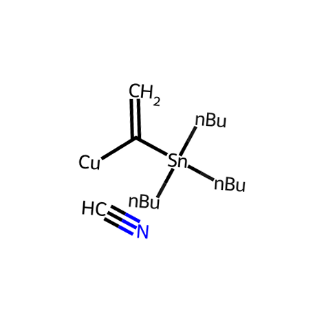 C#N.C=[C]([Cu])[Sn]([CH2]CCC)([CH2]CCC)[CH2]CCC